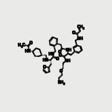 C=CC(=O)NCc1cccc(C[C@H](NC(=O)Cc2ccccc2CNC(=O)[C@H](Cc2ccco2)NC[C@H]2CC[C@@H](NC(C)=O)CC2)C(=O)NCCOCCN)c1